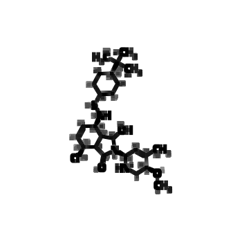 CO[C@H]1CN[C@@H](N2C(=O)C3C(C2O)[C@H](NSC2=CC[C@H](C(C)(C)C)CC2)C=C[C@@H]3Cl)C=C1C